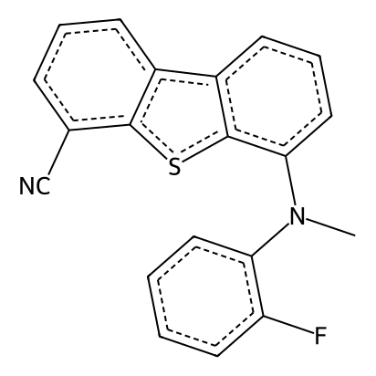 CN(c1ccccc1F)c1cccc2c1sc1c(C#N)cccc12